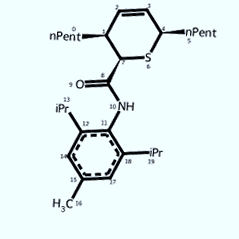 CCCCC[C@H]1C=C[C@@H](CCCCC)S[C@H]1C(=O)Nc1c(C(C)C)cc(C)cc1C(C)C